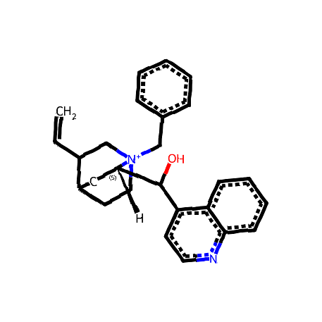 C=CC1C[N+]2(Cc3ccccc3)CCC1C[C@H]2C(O)c1ccnc2ccccc12